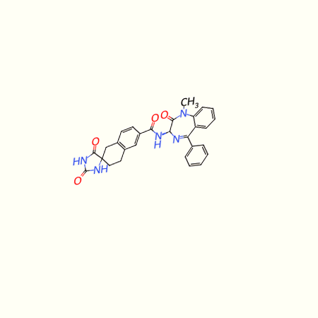 CN1C(=O)[C@H](NC(=O)c2ccc3c(c2)CCC2(C3)NC(=O)NC2=O)N=C(c2ccccc2)c2ccccc21